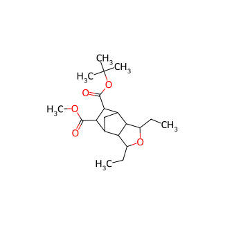 CCC1OC(CC)C2C3CC(C(C(=O)OC)C3C(=O)OC(C)(C)C)C12